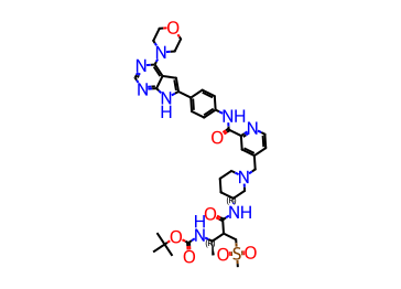 C[C@@H](NC(=O)OC(C)(C)C)C(CS(C)(=O)=O)C(=O)N[C@@H]1CCCN(Cc2ccnc(C(=O)Nc3ccc(-c4cc5c(N6CCOCC6)ncnc5[nH]4)cc3)c2)C1